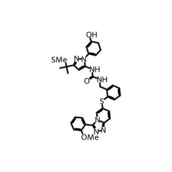 COc1ccccc1-c1nnc2ccc(Sc3ccccc3CNC(=O)Nc3cc(C(C)(C)SC)nn3C3=CCCC(O)=C3)cn12